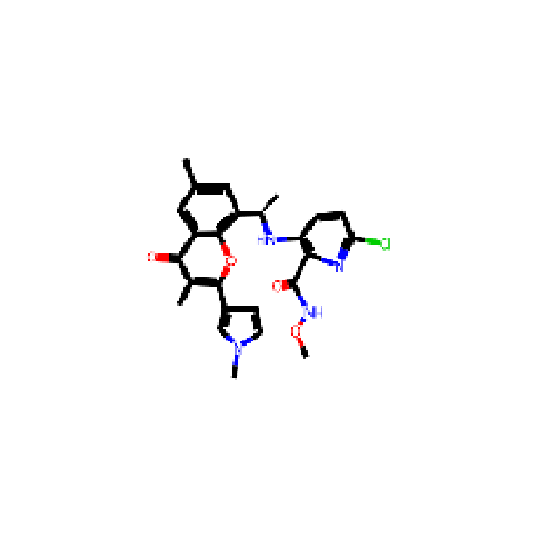 CONC(=O)c1nc(Cl)ccc1N[C@H](C)c1cc(C)cc2c(=O)c(C)c(-c3ccn(C)c3)oc12